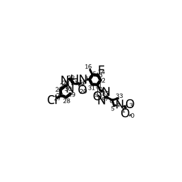 COC(=O)N1CC(c2noc(-c3cc(F)c(C)c(NC(=O)c4cnc5cc(Cl)ccn45)c3)n2)C1